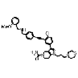 COc1ccccc1CNCc1ccc(C#Cc2cc(-c3nn(CCCN4CCSCC4)c4c3CN(C(N)=O)CC4)ccc2Cl)cc1